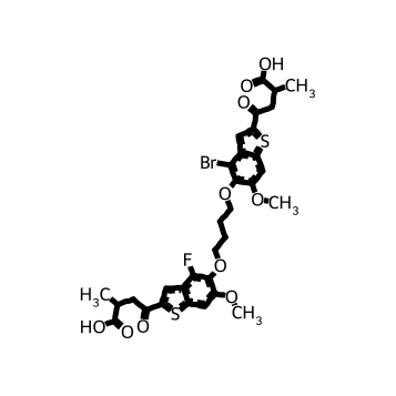 COc1cc2sc(C(=O)CC(C)C(=O)O)cc2c(F)c1OCCCCOc1c(OC)cc2sc(C(=O)CC(C)C(=O)O)cc2c1Br